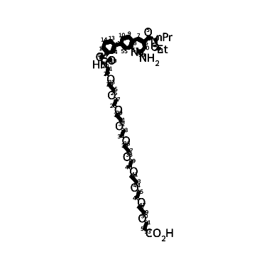 CCCN(OCC)C(=O)C1=Cc2ccc(-c3cccc(S(=O)(=O)NCCOCCOCCOCCOCCOCCOCCOCCOCCOCCOCCC(=O)O)c3)cc2N=C(N)C1